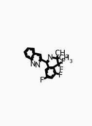 CC1(C)N=C(c2cc3ccccc3nn2)c2cc(F)cc(F)c2C1(F)F